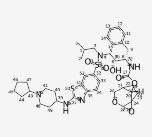 CC(C)CN(C[C@@H](O)[C@H](Cc1ccccc1)NC(=O)O[C@H]1C2CCC13OC3OC2)S(=O)(=O)c1ccc2nc(NC3CCN(C4CCCC4)CC3)sc2c1